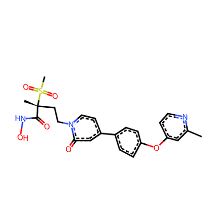 Cc1cc(Oc2ccc(-c3ccn(CC[C@](C)(C(=O)NO)S(C)(=O)=O)c(=O)c3)cc2)ccn1